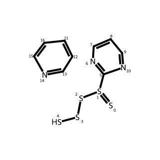 S=S(SSS)c1ncccn1.c1ccncc1